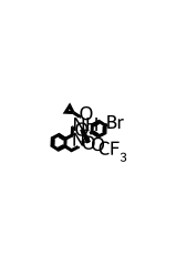 O=C(NCC1c2ccccc2CCN1S(=O)(=O)c1ccc(Br)cc1OC(F)(F)F)C1CC1